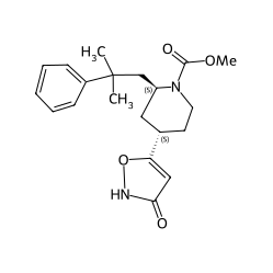 COC(=O)N1CC[C@H](c2cc(=O)[nH]o2)C[C@H]1CC(C)(C)c1ccccc1